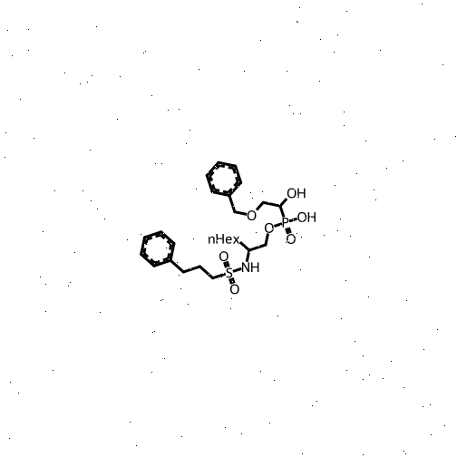 CCCCCCC(COP(=O)(O)C(O)COCc1ccccc1)NS(=O)(=O)CCCc1ccccc1